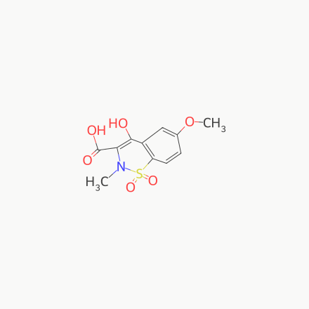 COc1ccc2c(c1)C(O)=C(C(=O)O)N(C)S2(=O)=O